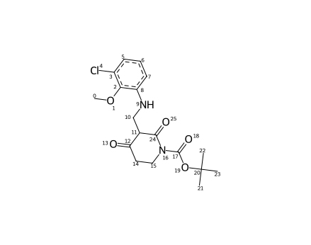 COc1c(Cl)cccc1NCC1C(=O)CCN(C(=O)OC(C)(C)C)C1=O